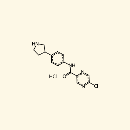 Cl.O=C(Nc1ccc(C2CCNC2)cc1)c1cnc(Cl)cn1